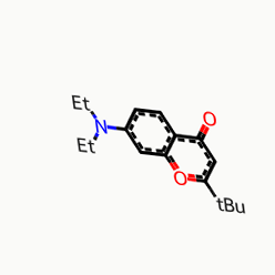 CCN(CC)c1ccc2c(=O)cc(C(C)(C)C)oc2c1